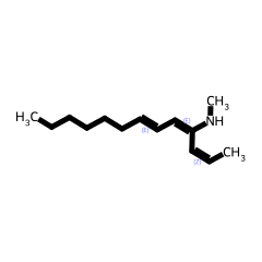 C\C=C/C(=C\C=C\CCCCCC)NC